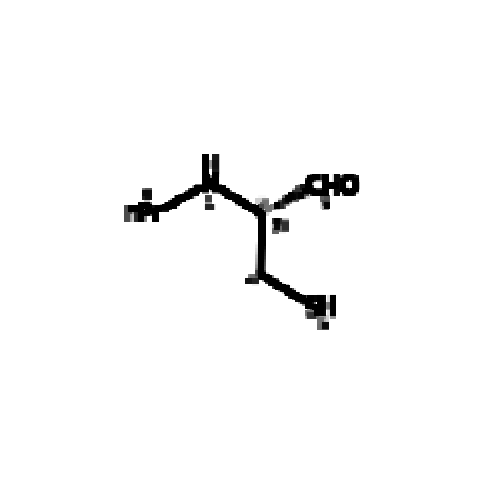 CCCN[C@H](C=O)CS